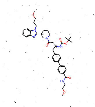 COCCCn1c([C@@H]2CCCN(C(=O)C[C@@H](Cc3ccc(-c4ccc(C(=O)NCCOC)cc4)cc3)NC(=O)OC(C)(C)C)C2)nc2ccccc21